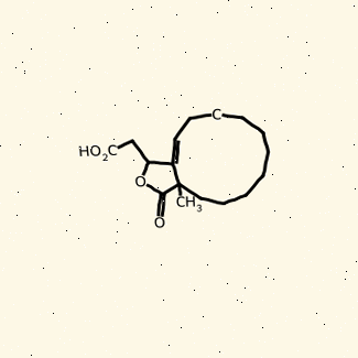 CC12CCCCCCCCC/C=C\1C(CC(=O)O)OC2=O